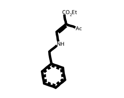 CCOC(=O)/C(=C/NCc1ccccc1)C(C)=O